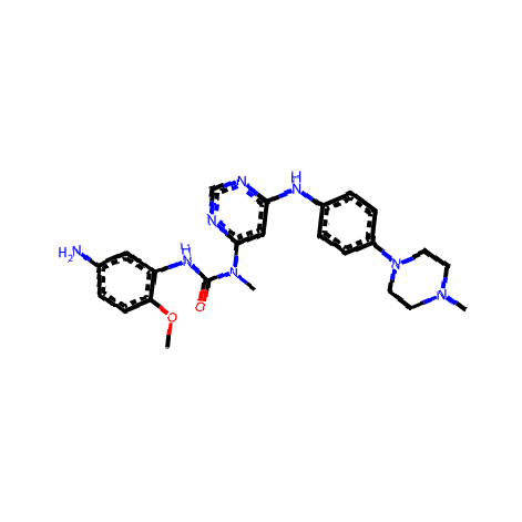 COc1ccc(N)cc1NC(=O)N(C)c1cc(Nc2ccc(N3CCN(C)CC3)cc2)ncn1